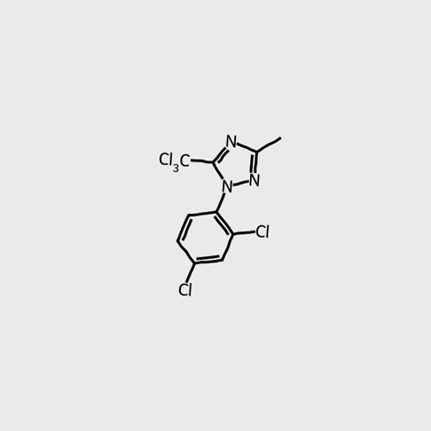 Cc1nc(C(Cl)(Cl)Cl)n(-c2ccc(Cl)cc2Cl)n1